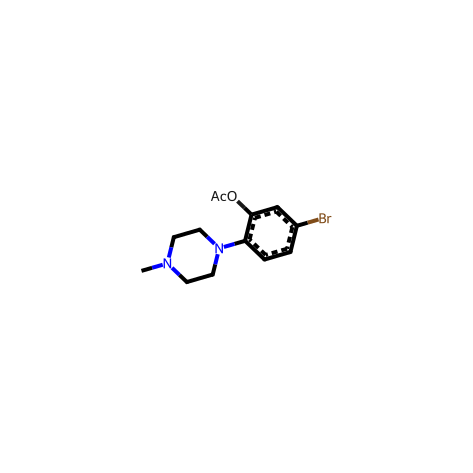 CC(=O)Oc1cc(Br)ccc1N1CCN(C)CC1